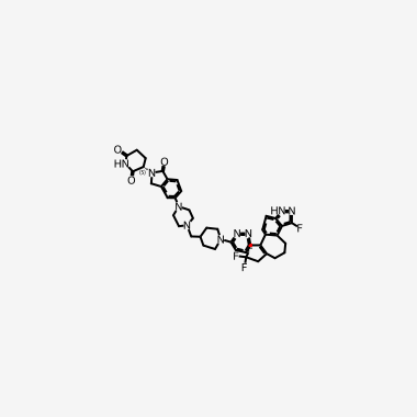 O=C1CC[C@H](N2Cc3cc(N4CCN(CC5CCN(c6ccc(C7=C(CC(F)(F)F)CCCc8c7ccc7[nH]nc(F)c87)nn6)CC5)CC4)ccc3C2=O)C(=O)N1